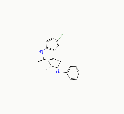 C[C@@H](Nc1ccc(F)cc1)[C@H]1CCC(Nc2ccc(F)cc2)[C@@H]1C